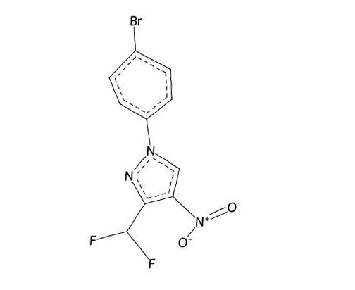 O=[N+]([O-])c1cn(-c2ccc(Br)cc2)nc1C(F)F